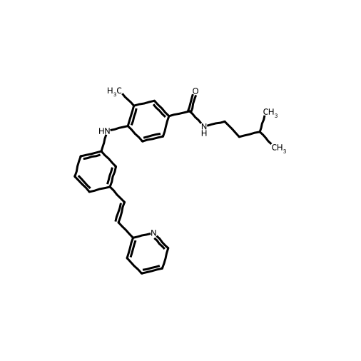 Cc1cc(C(=O)NCCC(C)C)ccc1Nc1cccc(C=Cc2ccccn2)c1